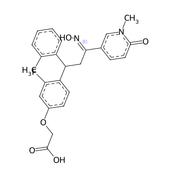 Cc1ccccc1C(C/C(=N\O)c1ccc(=O)n(C)c1)c1ccc(OCC(=O)O)cc1F